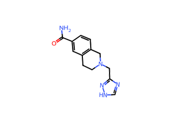 NC(=O)c1ccc2c(c1)CCN(Cc1nc[nH]n1)C2